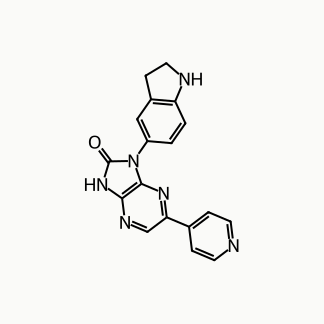 O=c1[nH]c2ncc(-c3ccncc3)nc2n1-c1ccc2c(c1)CCN2